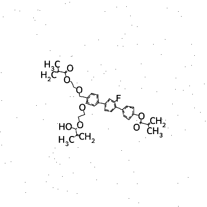 C=C(C)C(=O)OCCOCc1ccc(-c2ccc(-c3ccc(OC(=O)C(=C)C)cc3)c(F)c2)cc1OCCOC(O)C(=C)C